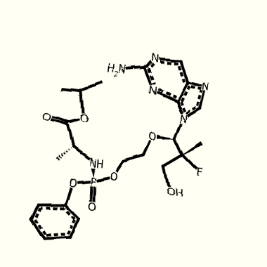 CC(C)OC(=O)[C@@H](C)N[P@](=O)(OCCO[C@@H](n1cnc2cnc(N)nc21)[C@](C)(F)CO)Oc1ccccc1